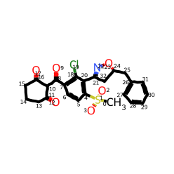 CS(=O)(=O)c1ccc(C(=O)C2C(=O)CCCC2=O)c(Cl)c1C1=NOC(Cc2ccccc2)C1